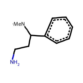 C[N]C(CCN)c1ccccc1